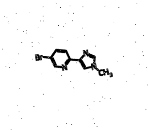 Cn1cnc(-c2ccc(Br)cn2)c1